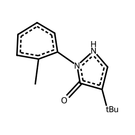 Cc1ccccc1-n1[nH]cc(C(C)(C)C)c1=O